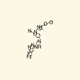 COCCOCCn1nc(Cn2c(C#N)cc3cc(CN4CCC(Nc5ncnc6sc(CC(F)(F)F)cc56)CC4)ccc32)cc1C